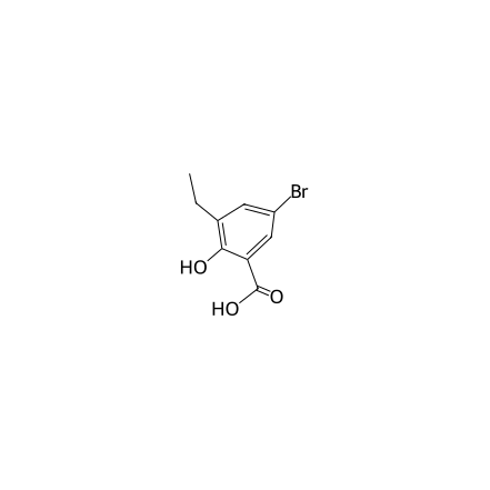 CCc1cc(Br)cc(C(=O)O)c1O